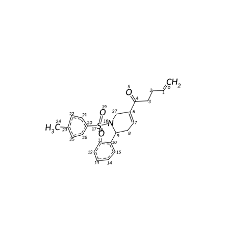 C=CCCC(=O)C1=CCC(c2ccccc2)N(S(=O)(=O)c2ccc(C)cc2)C1